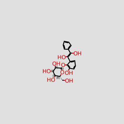 OC[C@H]1O[C@@H](Oc2c(O)cccc2C(O)=C(O)c2ccccc2)[C@H](O)[C@@H](O)[C@@H]1O